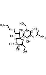 NCCOCC(O)C1([C@H]2O[C@H](CO)[C@@H](O)[C@@H](OC(N)=O)[C@@H]2O)O[C@@H](CO)[C@@H](O)[C@H](O)[C@@H]1O